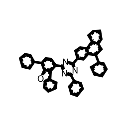 c1ccc(-c2nc(-c3ccc4c(c3)c(-c3ccccc3)cc3ccccc34)nc(-c3ccc(-c4ccccc4)c4oc5ccccc5c34)n2)cc1